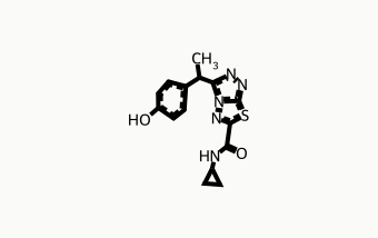 CC(c1ccc(O)cc1)c1nnc2sc(C(=O)NC3CC3)nn12